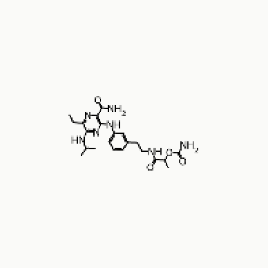 CCc1nc(C(N)=O)c(Nc2cccc(CCNC(=O)C(C)OC(N)=O)c2)nc1NC(C)C